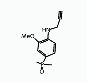 C#CCNc1ccc(P(C)(C)=O)cc1OC